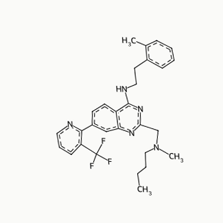 CCCCN(C)Cc1nc(NCCc2ccccc2C)c2ccc(-c3ncccc3C(F)(F)F)cc2n1